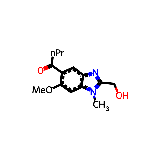 CCCC(=O)c1cc2nc(CO)n(C)c2cc1OC